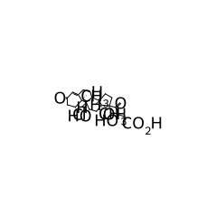 C[C@]12C[C@H](O)[C@H]3[C@@H](CCC4=CC(=O)CC(Cl)[C@@]43C)[C@@H]1CC[C@]2(O)C(=O)C(O)CC(=O)O